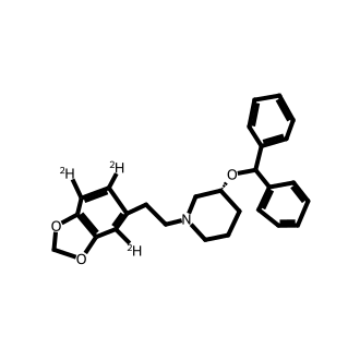 [2H]c1c([2H])c2c(c([2H])c1CCN1CCC[C@@H](OC(c3ccccc3)c3ccccc3)C1)OCO2